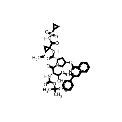 C=C[C@@H]1C[C@]1(NC(=O)[C@@H]1C[C@@H](Oc2nc(-c3ccccc3)cc3ccccc23)CN1C(=O)[C@@H](NC(=O)OC(C)(C)C)[C@H](C)OC)C(=O)NS(=O)(=O)C1CC1